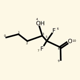 CCCC(O)C(F)(F)C(C)=O